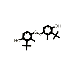 Cc1c(SSc2ccc(O)c(C(C)(C)C)c2C)ccc(O)c1C(C)(C)C